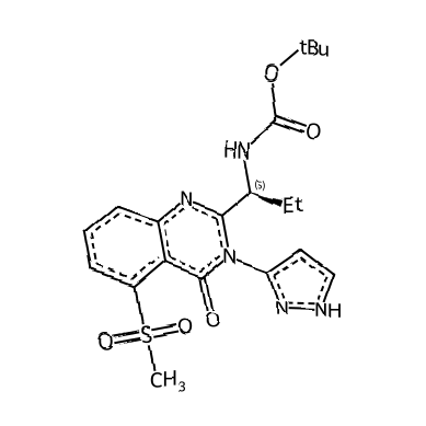 CC[C@H](NC(=O)OC(C)(C)C)c1nc2cccc(S(C)(=O)=O)c2c(=O)n1-c1cc[nH]n1